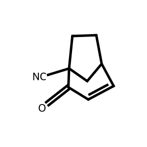 N#CC12CCC(C=CC1=O)C2